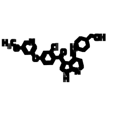 COc1cncc(Oc2ccc(C(=O)c3c[nH]c4nccc(N[C@H]5CC[C@H](CO)CC5)c34)c(Cl)c2)c1